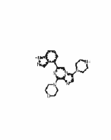 c1cc(-c2cn3c(N4CCNCC4)cnc3c(N3CCOCC3)n2)c2cn[nH]c2c1